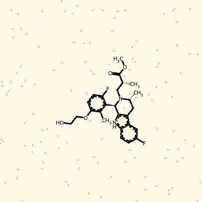 COC(=O)[C@H](C)CN1[C@H](c2c(F)ccc(OCCO)c2C)c2[nH]c3ccc(F)cc3c2C[C@H]1C